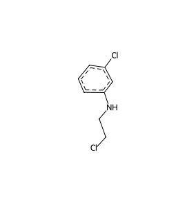 ClCCNc1cccc(Cl)c1